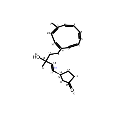 Cc1ccccccc(CCC(C)(O)/C=C/[C@H]2CCC(=O)C2)cc1